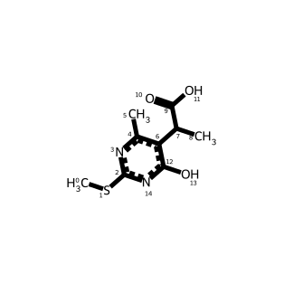 CSc1nc(C)c(C(C)C(=O)O)c(O)n1